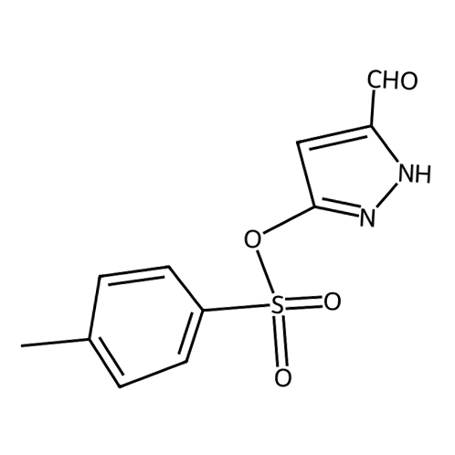 Cc1ccc(S(=O)(=O)Oc2cc(C=O)[nH]n2)cc1